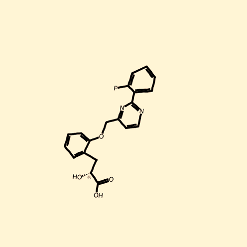 O=C(O)[C@H](O)Cc1ccccc1OCc1ccnc(-c2ccccc2F)n1